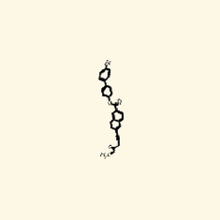 C=CC(=O)CC#Cc1ccc2cc(C(=O)Oc3ccc(-c4ccc(C(C)=O)cc4)cc3)ccc2c1